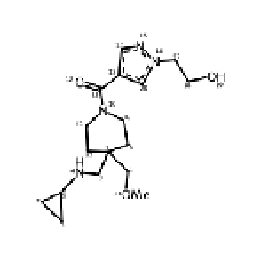 COCC1(CNC2CC2)CCN(C(=O)c2cnn(CCO)c2)CC1